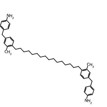 Cc1cc(Cc2ccc(N)cc2)ccc1CCCCCCCCCCCCCCCCc1ccc(Cc2ccc(N)cc2)cc1C